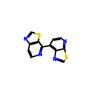 c1cc2ncsc2c(-c2ccnc3scnc23)n1